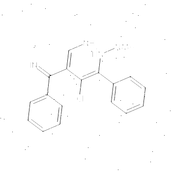 CNN/C(=C(Cl)\C(=C/N)C(=N)c1ccccc1)c1ccccc1